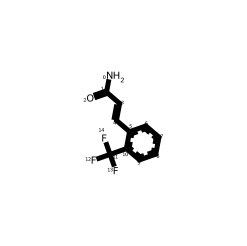 NC(=O)/C=C/c1ccccc1C(F)(F)F